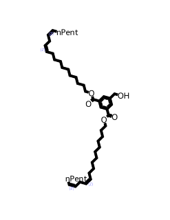 CCCCC/C=C\C/C=C\CCCCCCCCCCOC(=O)c1cc(CO)cc(C(=O)OCCCCCCCCCC/C=C\C/C=C\CCCCC)c1